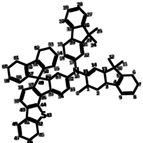 CC1CC2C3=C(CCC=C3)C(C)(C)C2C=C1N(C1=CCC2C(=C1)C(C)(C)c1ccccc12)C1=CC=C2c3c(ccc4c5c(sc34)CCC=C5)C3(C4=C(CCC=C4)C4=C3C=CCC4)C2C1